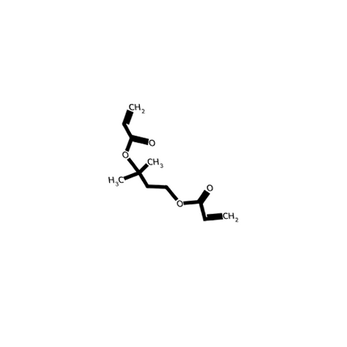 C=CC(=O)OCCC(C)(C)OC(=O)C=C